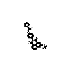 CC(C)(C)Oc1cc2c3c(cccc3c1)C(=O)N(c1ccc(OC(=O)C3=CC=CC3)cc1)C2=O